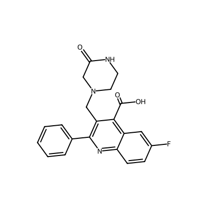 O=C1CN(Cc2c(-c3ccccc3)nc3ccc(F)cc3c2C(=O)O)CCN1